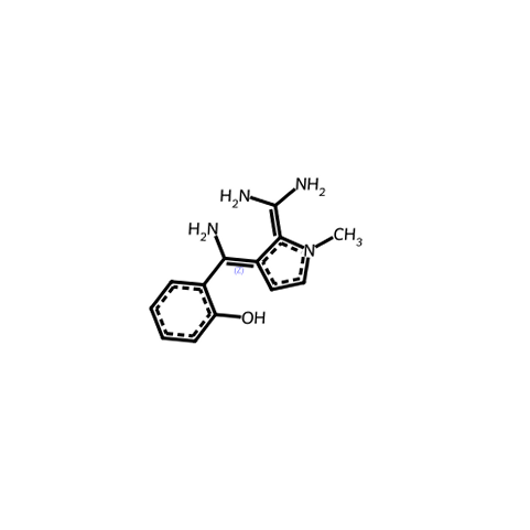 Cn1cc/c(=C(/N)c2ccccc2O)c1=C(N)N